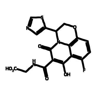 O=C(O)CNC(=O)c1c(O)c2c(F)ccc3c2n(c1=O)C(c1cncs1)CO3